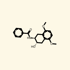 COc1ccc(OC)c2c1C[C@H](NC(=O)c1ccccc1)[C@@H](O)C2